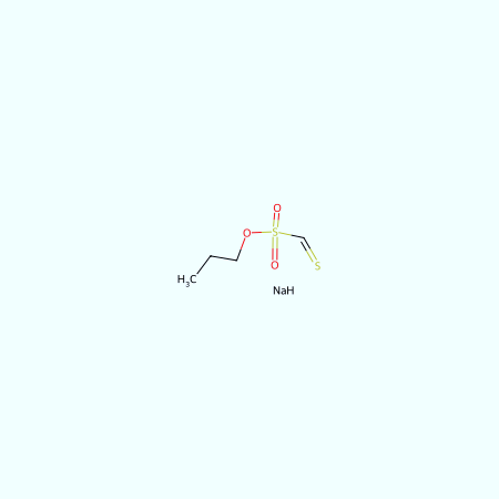 CCCOS(=O)(=O)C=S.[NaH]